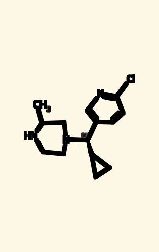 CC1CN([C@@H](c2ccc(Cl)nc2)C2CC2)CCN1